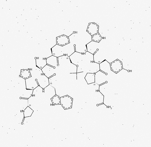 CC(C)(C)OC[C@@H](NC(=O)[C@H](Cc1ccc(O)cc1)NC(=O)[C@H](CO)NC(=O)[C@H](Cc1c[nH]c2ccccc12)NC(=O)[C@H](Cc1c[nH]cn1)NC(=O)[C@@H]1CCC(=O)N1)C(=O)N[C@@H](Cc1c[nH]c2ccccc12)C(=O)N[C@@H](Cc1ccc(O)cc1)C(=O)N1CCC[C@H]1C(=O)NCC(N)=O